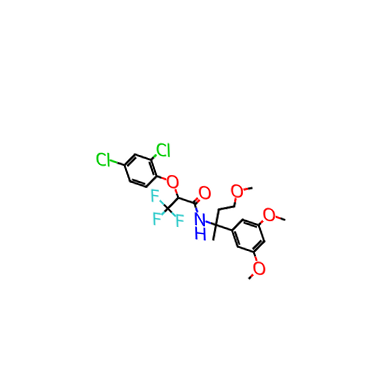 COCCC(C)(NC(=O)C(Oc1ccc(Cl)cc1Cl)C(F)(F)F)c1cc(OC)cc(OC)c1